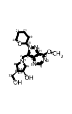 COc1ncnc2c(CN3C[C@H](CO)[C@H](O)C3)n(C3CCCCO3)nc12